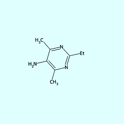 CCc1nc(C)c(N)c(C)n1